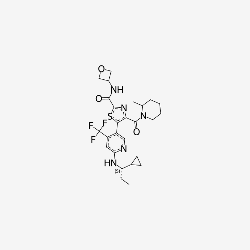 CC[C@H](Nc1cc(C(F)(F)F)c(-c2sc(C(=O)NC3COC3)nc2C(=O)N2CCCCC2C)cn1)C1CC1